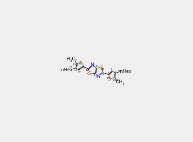 CCCCCCc1cc(-c2nc3sc(-c4cc(CCCCCC)c(C)s4)nc3s2)sc1C